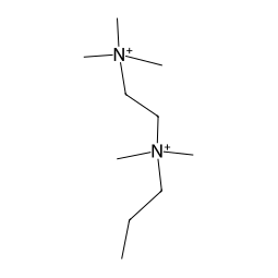 CCC[N+](C)(C)CC[N+](C)(C)C